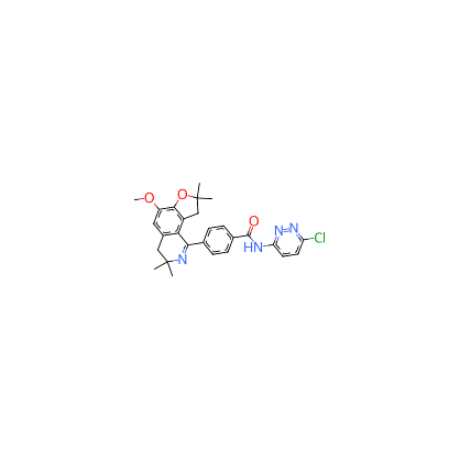 COc1cc2c(c3c1OC(C)(C)C3)C(c1ccc(C(=O)Nc3ccc(Cl)nn3)cc1)=NC(C)(C)C2